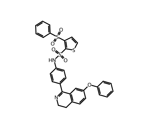 O=S(=O)(Nc1ccc(C2=NCCc3ccc(Oc4ccccc4)cc32)cc1)c1sccc1S(=O)(=O)c1ccccc1